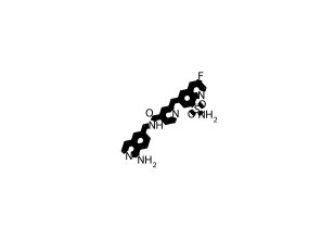 Nc1nccc2cc(CNC(=O)c3ccnc(Cc4cc(S(N)(=O)=O)c5ncc(F)cc5c4)c3)ccc12